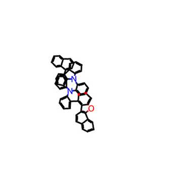 c1cc(-c2cccc3ccccc23)cc(N(c2ccccc2-c2cccc3oc4c5ccccc5ccc4c23)c2ccccc2-n2c3ccccc3c3ccccc32)c1